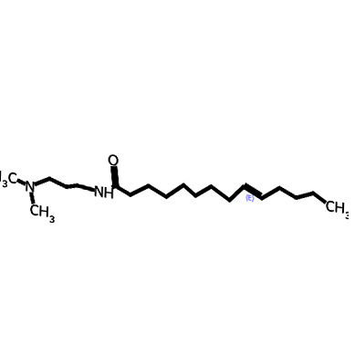 CCCC/C=C/CCCCCCCC(=O)NCCCN(C)C